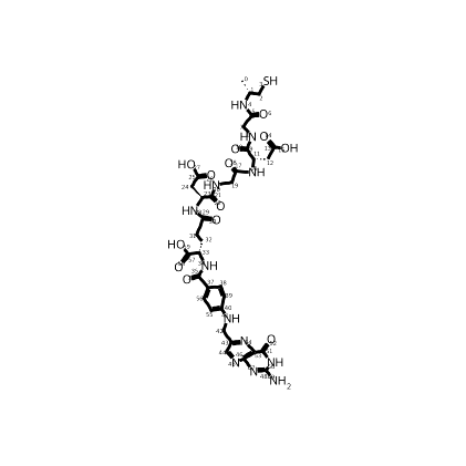 C[C@H](CS)NC(=O)CNC(=O)[C@H](CC(=O)O)NC(=O)CNC(=O)[C@H](CC(=O)O)NC(=O)CC[C@H](NC(=O)c1ccc(NCc2cnc3nc(N)[nH]c(=O)c3n2)cc1)C(=O)O